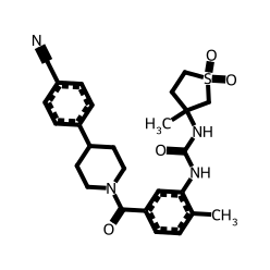 Cc1ccc(C(=O)N2CCC(c3ccc(C#N)cc3)CC2)cc1NC(=O)NC1(C)CCS(=O)(=O)C1